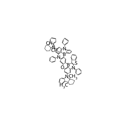 CC12CCCCC1(C)N(c1cc3c4c(c1)N(c1ccccc1)c1sc5ccccc5c1B4c1cc4c(cc1O3)N(c1ccccc1)c1cc(N3c5ccccc5C5(C)CCCCC35C)cc3c1B4c1ccccc1N3c1ccccc1)c1ccccc12